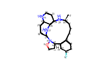 C[C@H]1CCCC2CCC(F)CC2[C@H]2CCON2C2CCC3NCCC(N1)C3N2